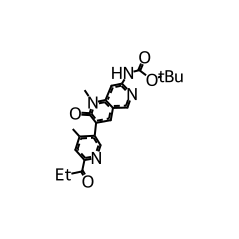 CCC(=O)c1cc(C)c(-c2cc3cnc(NC(=O)OC(C)(C)C)cc3n(C)c2=O)cn1